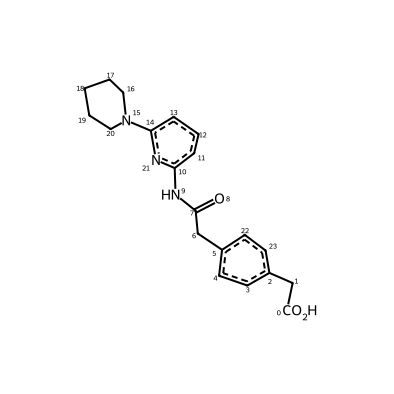 O=C(O)Cc1ccc(CC(=O)Nc2cccc(N3CCCCC3)n2)cc1